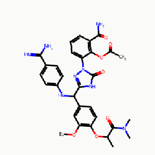 CCOc1cc(C(Nc2ccc(C(=N)N)cc2)c2nn(-c3cccc(C(N)=O)c3OC(=O)C(F)(F)F)c(=O)[nH]2)ccc1OC(C)C(=O)N(C)C